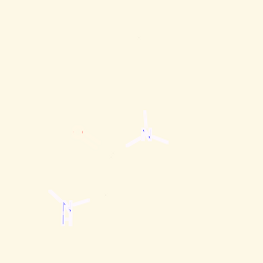 CNC1CCCC(C)(C)N(C2CCC2)C1=O